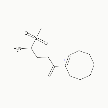 C=C(CCC(N)S(C)(=O)=O)/C1=C/CCCCCC1